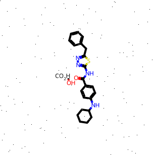 O=C(Nc1nnc(Cc2ccccc2)s1)c1ccc(NC2CCCCC2)cc1.O=C(O)O